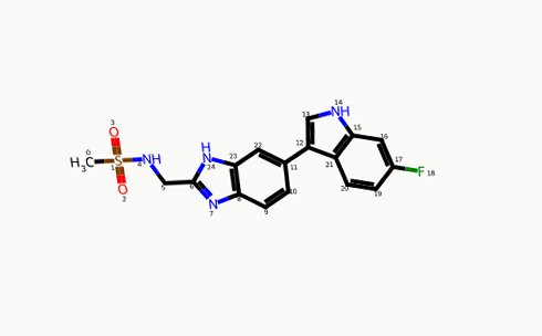 CS(=O)(=O)NCc1nc2ccc(-c3c[nH]c4cc(F)ccc34)cc2[nH]1